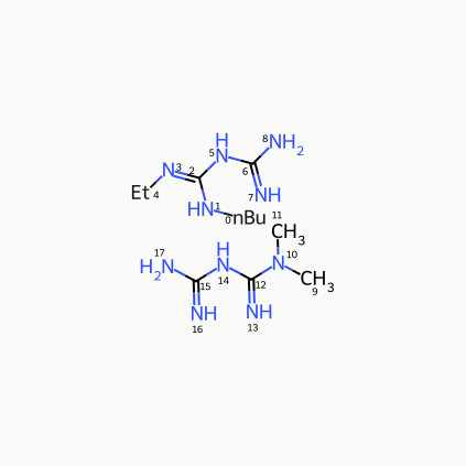 CCCCN/C(=N\CC)NC(=N)N.CN(C)C(=N)NC(=N)N